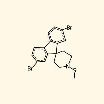 CSN1CCC2(CC1)c1cc(Br)ccc1-c1ccc(Br)cc12